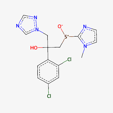 Cn1ccnc1[S+]([O-])CC(O)(Cn1cncn1)c1ccc(Cl)cc1Cl